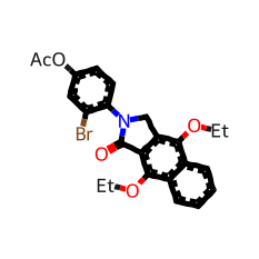 CCOc1c2c(c(OCC)c3ccccc13)C(=O)N(c1ccc(OC(C)=O)cc1Br)C2